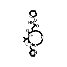 CC(C)C1NC(=O)C(CC(=O)NO[C@H]2CCCCO2)CCCCCCCCN(Cc2cccnc2)C1=O